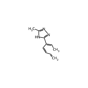 C=C/C=C\C(=C/C)c1nnc(C)[nH]1